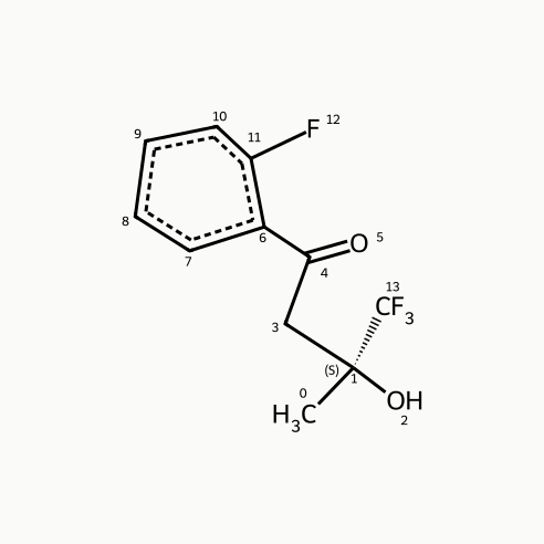 C[C@](O)(CC(=O)c1ccccc1F)C(F)(F)F